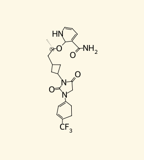 C[C@@H](CC1CC(N2C(=O)CN(C3=CC=C(C(F)(F)F)CC3)C2=O)C1)OC1NC=CC=C1C(N)=O